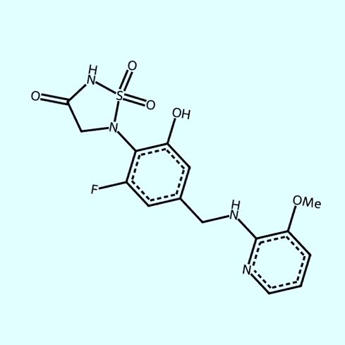 COc1cccnc1NCc1cc(O)c(N2CC(=O)NS2(=O)=O)c(F)c1